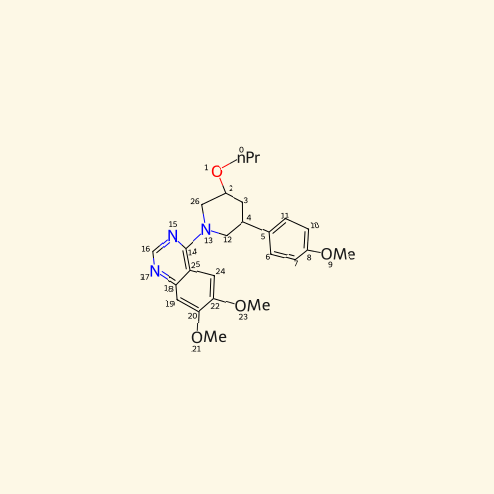 CCCOC1CC(c2ccc(OC)cc2)CN(c2ncnc3cc(OC)c(OC)cc23)C1